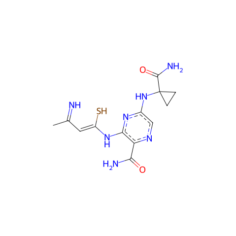 CC(=N)/C=C(\S)Nc1nc(NC2(C(N)=O)CC2)cnc1C(N)=O